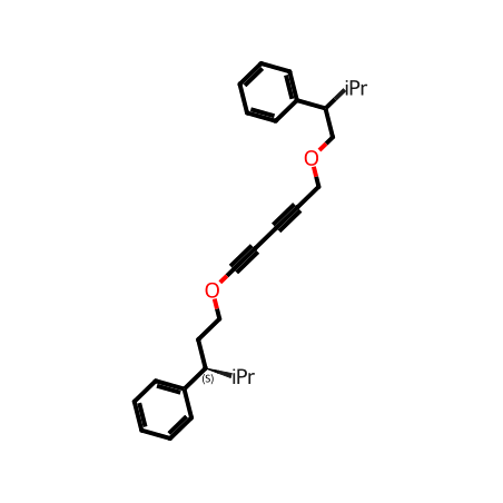 CC(C)C(COCC#CC#COCC[C@H](c1ccccc1)C(C)C)c1ccccc1